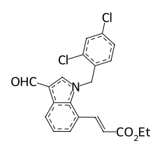 CCOC(=O)C=Cc1cccc2c(C=O)cn(Cc3ccc(Cl)cc3Cl)c12